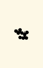 c1ccc(-c2ccc3c4ccccc4n(-c4cc(-c5ccc(N(c6ccccc6)c6cccc7c6sc6ccccc67)cc5)c5sc6ccccc6c5c4)c3c2)cc1